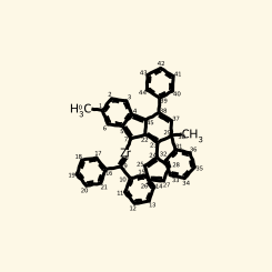 Cc1ccc2c(c1)=[C]([Zr]=[C](c1ccccc1)c1ccccc1)C1=C(C3=CC=CC3)C(C)(c3ccccc3)C=C(c3ccccc3)C=21